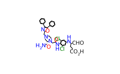 NC(=O)[C@@H]1CN(Cc2nc(-c3ccccc3)c(-c3ccccc3)o2)CCN1CC(=O)Nc1c(Cl)cc(NC(C=O)CCC(=O)O)cc1Cl